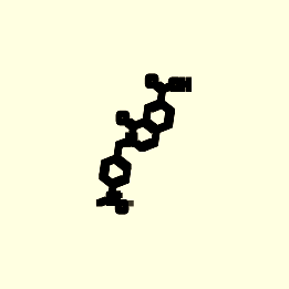 C[S+]([O-])c1ccc(Cn2ccc3ccc(C(=O)O)cc3c2=O)cc1